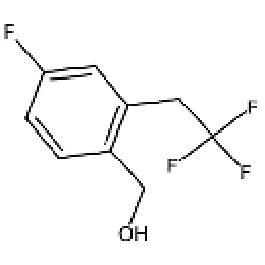 OCc1ccc(F)cc1CC(F)(F)F